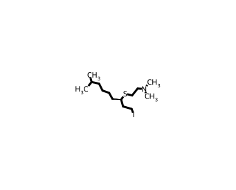 CC(C)CCCC[C@H](CCI)SCCN(C)C